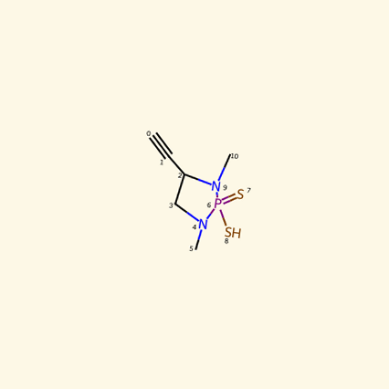 C#CC1CN(C)P(=S)(S)N1C